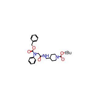 CC(C)(C)OC(=O)N1CCC(CNC(=O)CN(C(=O)OCc2ccccc2)c2ccccc2)CC1